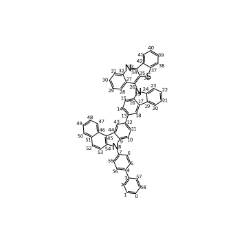 c1ccc(-c2ccc(-n3c4ccc(-c5ccc6c(c5)c5ccccc5n6-c5c6ccccc6nc6c5sc5ccccc56)cc4c4c5ccccc5ccc43)cc2)cc1